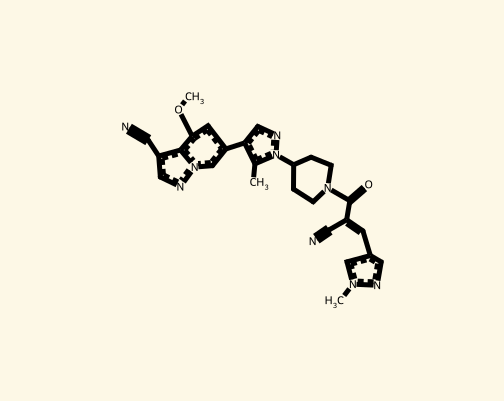 COc1cc(-c2cnn(C3CCN(C(=O)C(C#N)=Cc4cnn(C)c4)CC3)c2C)cn2ncc(C#N)c12